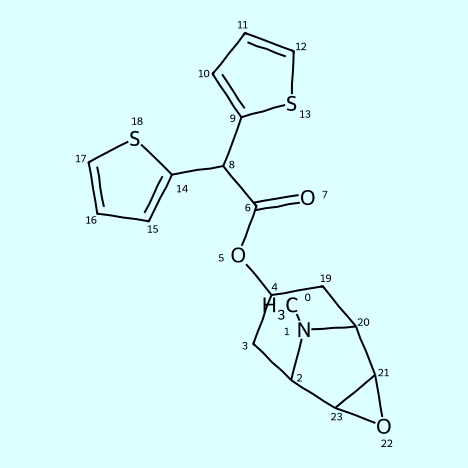 CN1C2CC(OC(=O)C(c3cccs3)c3cccs3)CC1C1OC12